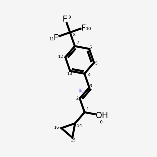 OC(/C=C/c1ccc(C(F)(F)F)cc1)C1CC1